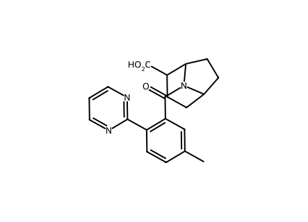 Cc1ccc(-c2ncccn2)c(C(=O)N2C3CCC(C(=O)O)C2CC3)c1